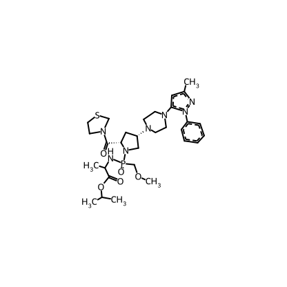 COCP(=O)(NC(C)C(=O)OC(C)C)N1C[C@@H](N2CCN(c3cc(C)nn3-c3ccccc3)CC2)C[C@H]1C(=O)N1CCSC1